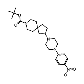 CC(C)(C)OC(=O)N1CCC2(CCC(N3CCN(c4ccc([N+](=O)[O-])cc4)CC3)C2)CC1